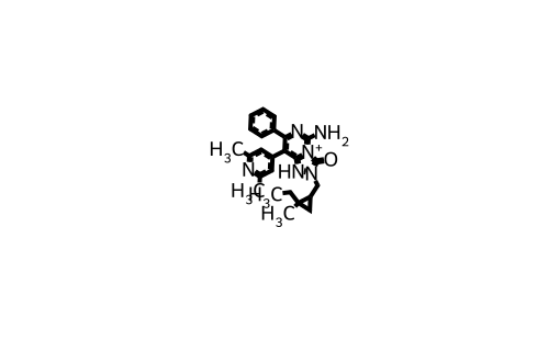 CCC1(C)CC1Cn1[nH]c2c(-c3cc(C)nc(C)c3)c(-c3ccccc3)nc(N)[n+]2c1=O